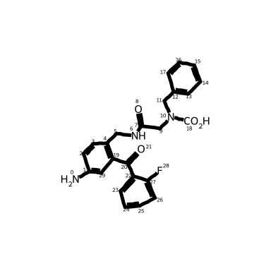 Nc1ccc(CNC(=O)CN(Cc2ccccc2)C(=O)O)c(C(=O)c2ccccc2F)c1